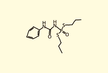 CCCSP(=O)(NC(=O)Nc1ccccc1)SCCC